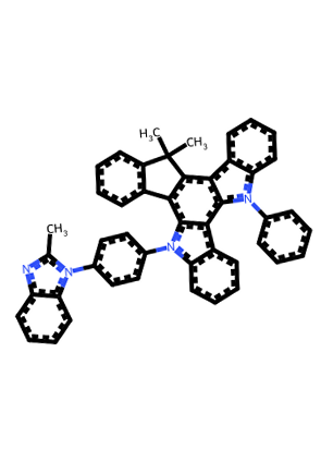 Cc1nc2ccccc2n1-c1ccc(-n2c3ccccc3c3c2c2c(c4c5ccccc5n(-c5ccccc5)c43)C(C)(C)c3ccccc3-2)cc1